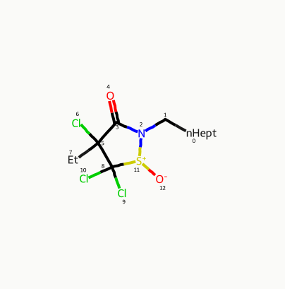 CCCCCCCCN1C(=O)C(Cl)(CC)C(Cl)(Cl)[S+]1[O-]